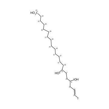 CC=CCC(O)CCC(O)CCCCCCCCCCCCCC(=O)O